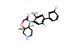 COc1cc(-c2cccc(Cl)c2)c(F)cc1N1C(=O)CO[C@H]2CNCC[C@@H]21